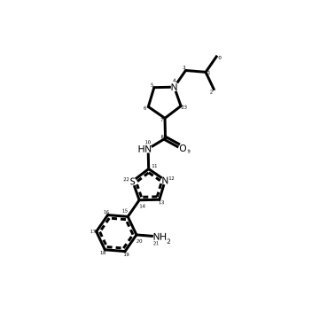 C[C](C)CN1CCC(C(=O)Nc2ncc(-c3ccccc3N)s2)C1